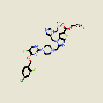 CCOC(=O)c1cc2c(nc(CN3CCN(c4ncc(F)c(OCc5ccc(Cl)cc5F)n4)CC3)n2Cc2cncn2CC)s1